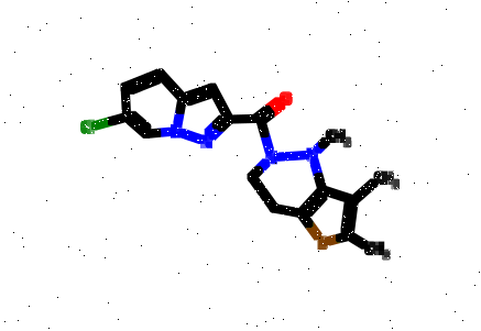 Cc1sc2c(c1C)N(C)N(C(=O)c1cc3ccc(Cl)cn3n1)CC2